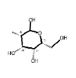 C[C@@H]1C(O)O[C@H](CO)[C@H](O)[C@@H]1O